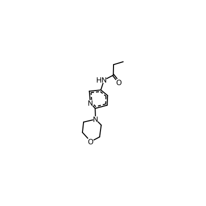 CCC(=O)Nc1ccc(N2CCOCC2)nc1